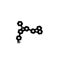 CC(C)c1ccc(-c2ccc3c(c2)c2cc(-c4ccc5c(c4)-c4cccc6cccc-5c46)ccc2n3-c2ccccc2)cc1